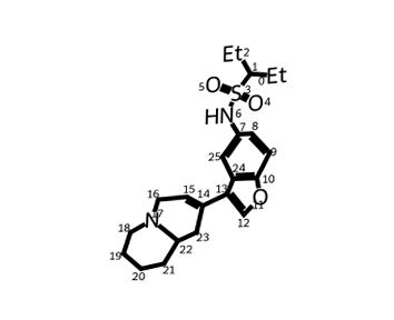 CCC(CC)S(=O)(=O)Nc1ccc2occ(C3=CCN4CCCCC4C3)c2c1